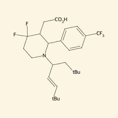 CC(C)(C)C=CC(CC(C)(C)C)N1CCC(F)(F)C(CC(=O)O)C1c1ccc(C(F)(F)F)cc1